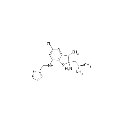 CC1c2nc(Cl)cc(NCc3cccs3)c2SC1(N)C[C@@H](C)N